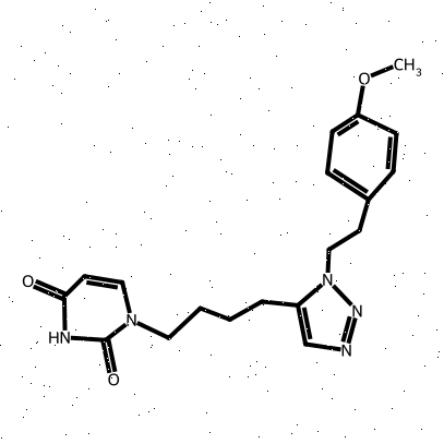 COc1ccc(CCn2nncc2CCCCn2ccc(=O)[nH]c2=O)cc1